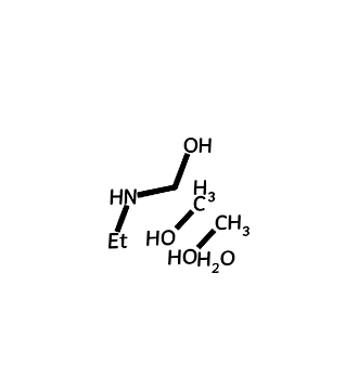 CCNCO.CO.CO.O